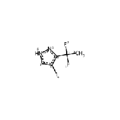 CC(F)(F)c1n[nH]cc1I